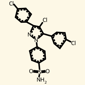 NS(=O)(=O)c1ccc(-n2nc(-c3ccc(Cl)cc3)c(Cl)c2-c2ccc(Cl)cc2)cc1